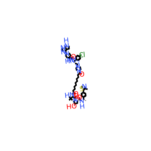 Cc1ncsc1-c1ccc([C@H](C)NC(=O)[C@@H]2C[C@@H](O)CN2C(=O)[C@@H](NC(=O)CCCCCCCCCC(=O)N2CCN(CC[C@H](NC(=O)C3(N)CCN(c4ncnc5[nH]ccc45)CC3)c3ccc(Cl)cc3)CC2)C(C)(C)C)cc1